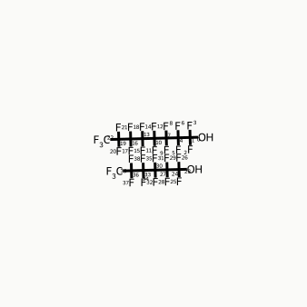 OC(F)(F)C(F)(F)C(F)(F)C(F)(F)C(F)(F)C(F)(F)C(F)(F)C(F)(F)F.OC(F)(F)C(F)(F)C(F)(F)C(F)(F)C(F)(F)C(F)(F)F